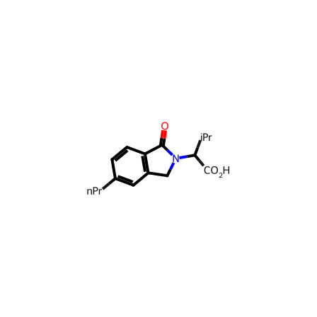 CCCc1ccc2c(c1)CN(C(C(=O)O)C(C)C)C2=O